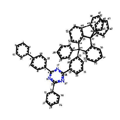 c1ccc(-c2ccc(-c3nc(-c4ccccc4)nc(-c4cccc(C5(c6ccccc6)c6ccccc6C6(c7ccccc7)c7ccccc7-c7cccc5c76)c4)n3)cc2)cc1